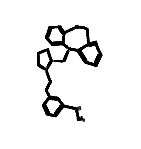 CNc1cccc(CCN2CCC[C@@H]2CN2c3ccccc3COc3ccccc32)c1